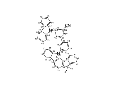 CC1(C)c2ccccc2-c2c1ccc1c3ccccc3n(-c3cccc(-c4cc(C#N)cc(-n5c6ccccc6c6ccccc65)c4)c3)c21